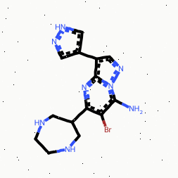 Nc1c(Br)c(C2CNCCNC2)nc2c(-c3cn[nH]c3)cnn12